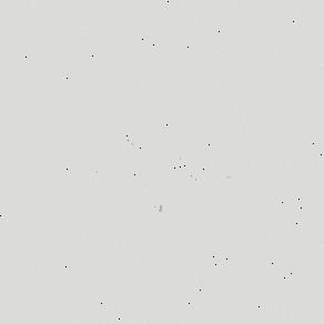 Nc1c(Cl)ncnc1-c1ncccc1F